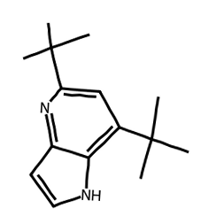 CC(C)(C)c1cc(C(C)(C)C)c2[nH]ccc2n1